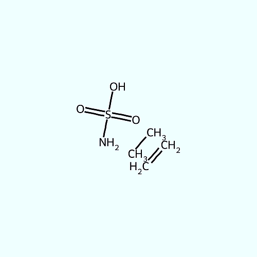 C=C.CC.NS(=O)(=O)O